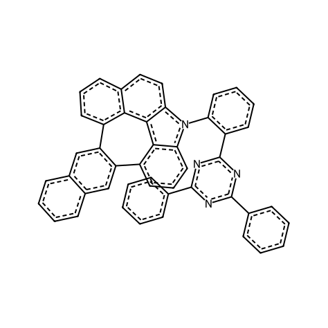 c1ccc(-c2nc(-c3ccccc3)nc(-c3ccccc3-n3c4cccc5c4c4c6c(cccc6ccc43)-c3cc4ccccc4cc3-5)n2)cc1